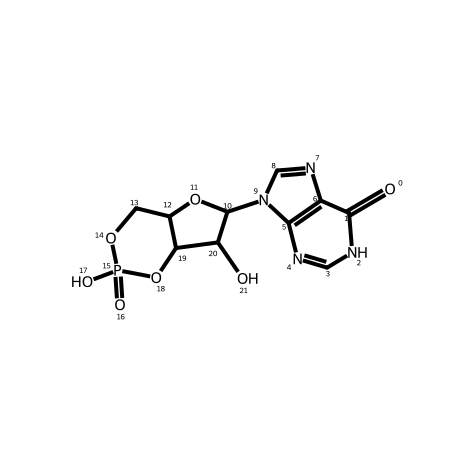 O=c1[nH]cnc2c1ncn2C1OC2COP(=O)(O)OC2C1O